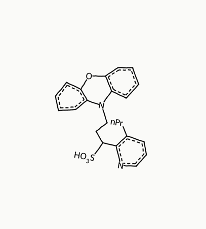 CCCc1cccnc1C(CCN1c2ccccc2Oc2ccccc21)S(=O)(=O)O